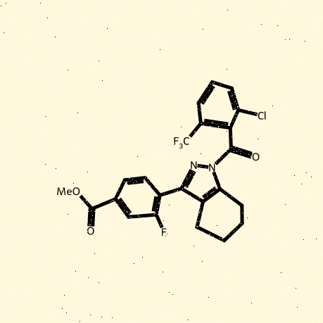 COC(=O)c1ccc(-c2nn(C(=O)c3c(Cl)cccc3C(F)(F)F)c3c2CCCC3)c(F)c1